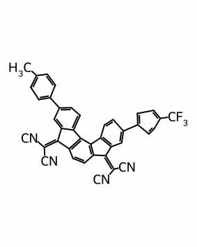 [C-]#[N+]/C(C#N)=C1/c2cc(-c3ccc(C(F)(F)F)cc3)ccc2-c2c1ccc1c2-c2ccc(-c3ccc(C)cc3)cc2/C1=C(/C#N)[N+]#[C-]